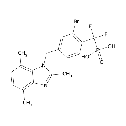 Cc1ccc(C)c2c1nc(C)n2Cc1ccc(C(F)(F)P(=O)(O)O)c(Br)c1